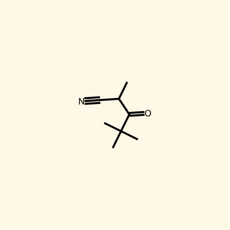 CC(C#N)C(=O)C(C)(C)C